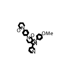 COc1ccc(-n2nc(-c3cccnc3)c3c2C(=O)N(c2ccc(N4CCCCC4=O)cc2)CC3)cc1